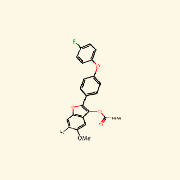 CNC(=O)Oc1c(-c2ccc(Oc3ccc(F)cc3)cc2)oc2cc(C(C)=O)c(OC)cc12